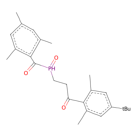 Cc1cc(C)c(C(=O)[PH](=O)CCC(=O)c2c(C)cc(C(C)(C)C)cc2C)c(C)c1